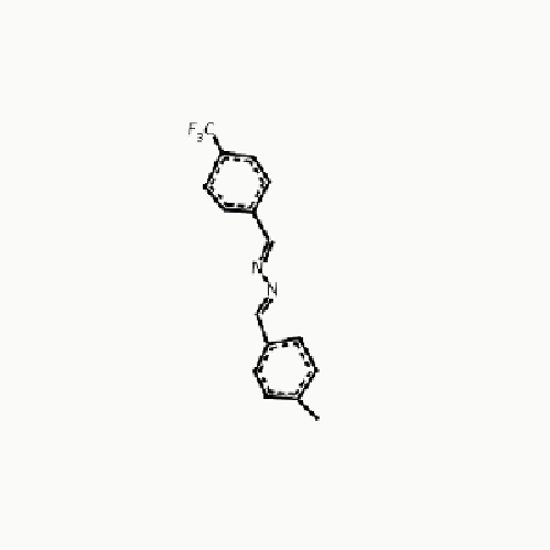 Cc1ccc(C=NN=Cc2ccc(C(F)(F)F)cc2)cc1